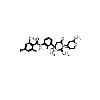 C=C1N[C@](C)(c2cccc(NC(=O)c3c(C)cc(F)cc3F)c2I)CC(=O)N1[C@@H]1CCOC(C)C1